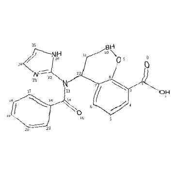 O=C(O)c1cccc2c1OBCC2N(C(=O)c1ccccc1)c1ncc[nH]1